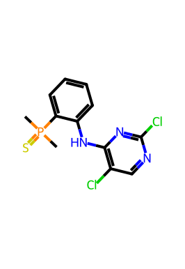 CP(C)(=S)c1ccccc1Nc1nc(Cl)ncc1Cl